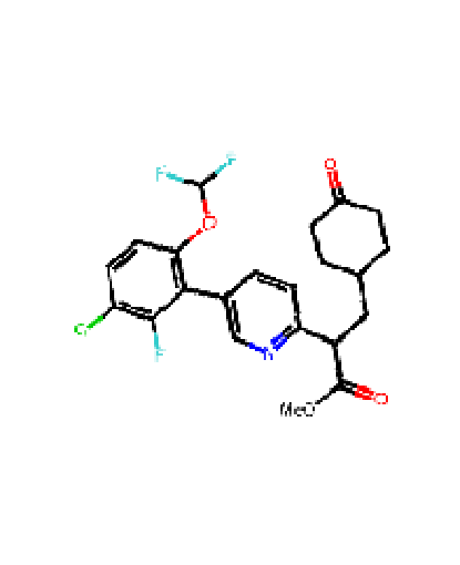 COC(=O)C(CC1CCC(=O)CC1)c1ccc(-c2c(OC(F)F)ccc(Cl)c2F)cn1